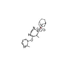 COC(=O)N1C2CCC1CC(Oc1ncnc(Oc3cccnc3C)c1C)C2